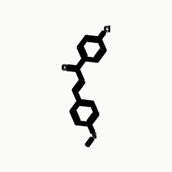 CSc1ccc(/C=C/C(=O)c2ccc(Cl)cc2)cc1